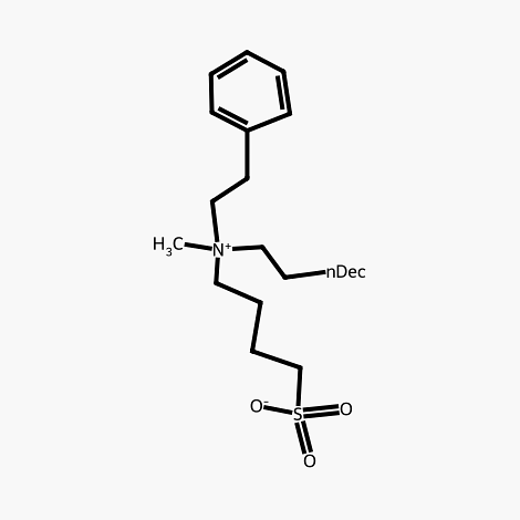 CCCCCCCCCCCC[N+](C)(CCCCS(=O)(=O)[O-])CCc1ccccc1